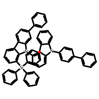 c1ccc(-c2ccc(-n3c4ccccc4c4c(-n5c6cc(-c7ccccc7)ccc6c6cccc([Si](c7ccccc7)(c7ccccc7)c7ccccc7)c65)cccc43)cc2)cc1